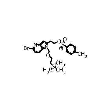 Cc1ccc(S(=O)(=O)OCCc2cc3nc(Br)ccc3n2COCC[Si](C)(C)C)cc1